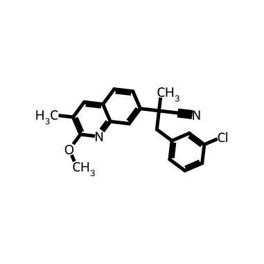 COc1nc2cc(C(C)(C#N)Cc3cccc(Cl)c3)ccc2cc1C